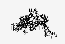 CCCCCCCCC1(CCCCCCCC)c2cc(N(c3ccc4c(c3)C(CCCCCCC)(CCCCCCC)c3c5c(c6oc7ccccc7c6c3-4)-c3ccccc3C5(CCCCCCC)CCCCCCC)c3c(C)cccc3C)ccc2-c2cc3c(cc21)-c1c(ccc2oc4ccccc4c12)C3(CCCCCCCC)CCCCCCCC